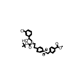 COC(=O)c1ccc(CS(=O)(=O)c2ccc(CCN(C[C@H](O)c3cccc(Cl)c3)C(=O)OC(C)(C)C)cc2)cc1